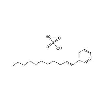 CCCCCCCCCC=Cc1ccccc1.O=S(=O)(O)O